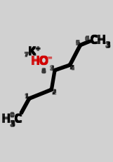 CCCCCCC.[K+].[OH-]